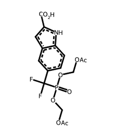 CC(=O)OCOP(=O)(OCOC(C)=O)C(F)(F)c1ccc2[nH]c(C(=O)O)cc2c1